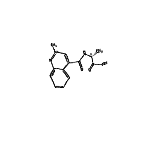 C[C@@H](NC(=O)c1c[n+](C)nc2ccccc12)C(=O)O